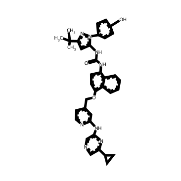 CC(C)(C)c1cc(NC(=O)Nc2ccc(OCc3ccnc(Nc4cncc(C5CC5)n4)c3)c3ccccc23)n(-c2ccc(O)cc2)n1